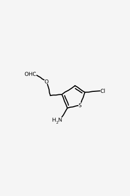 Nc1sc(Cl)cc1COC=O